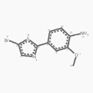 COc1cc(-c2ncc(Br)s2)ccc1N